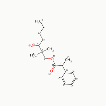 CCCCC(O)C(C)(C)COC(=O)C(C)c1ccccc1